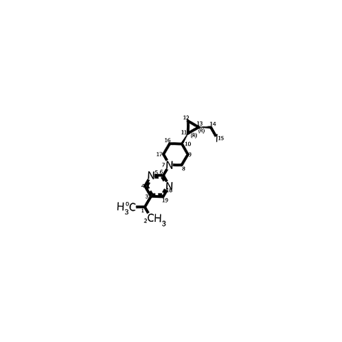 CC(C)c1cnc(N2CCC([C@H]3C[C@H]3CI)CC2)nc1